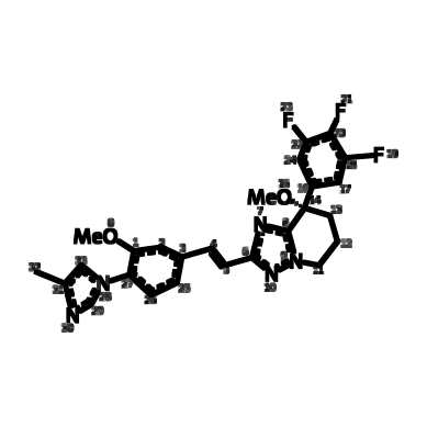 COc1cc(/C=C/c2nc3n(n2)CCC[C@]3(OC)c2cc(F)c(F)c(F)c2)ccc1-n1cnc(C)c1